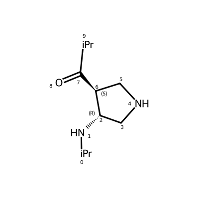 CC(C)N[C@H]1CNC[C@@H]1C(=O)C(C)C